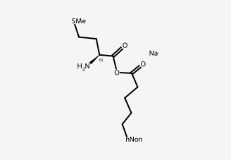 CCCCCCCCCCCCCC(=O)OC(=O)[C@@H](N)CCSC.[Na]